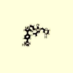 CC(C)C1CN(CC2CNCCO2)C(=O)N1c1ccn2ncc(-c3ccc(-c4nc[nH]n4)cc3)c2n1